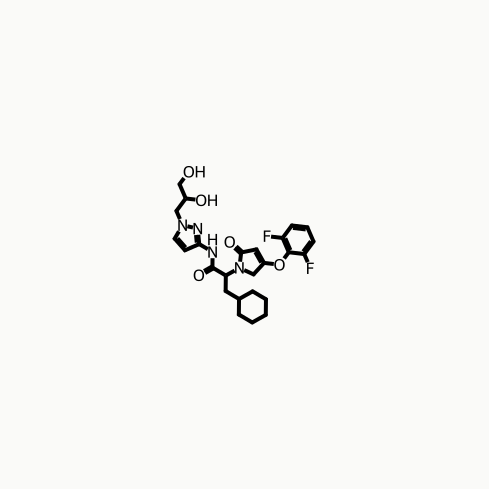 O=C(Nc1ccn(CC(O)CO)n1)C(CC1CCCCC1)N1CC(Oc2c(F)cccc2F)=CC1=O